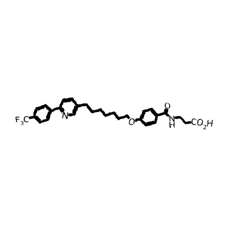 O=C(O)CCNC(=O)c1ccc(OCCCCCCCc2ccc(-c3ccc(C(F)(F)F)cc3)nc2)cc1